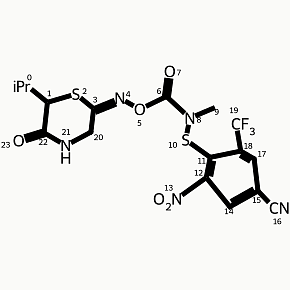 CC(C)C1SC(=NOC(=O)N(C)Sc2c([N+](=O)[O-])cc(C#N)cc2C(F)(F)F)CNC1=O